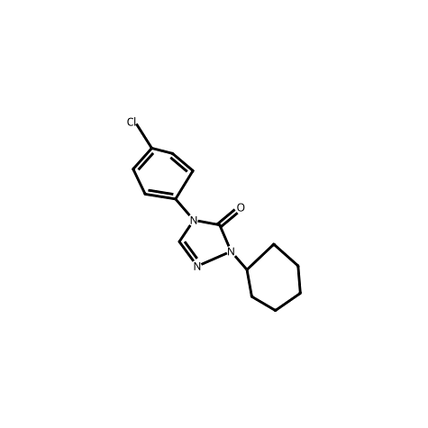 O=c1n(-c2ccc(Cl)cc2)cnn1C1CCCCC1